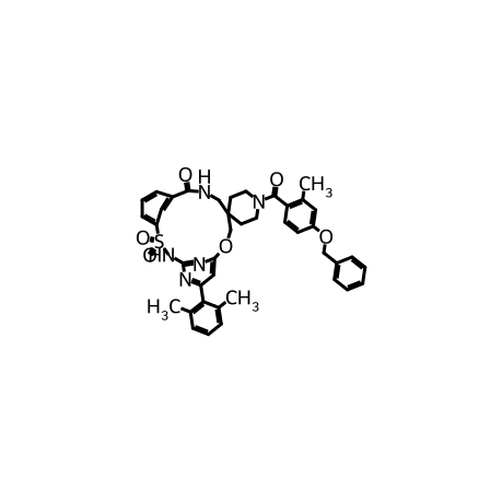 Cc1cc(OCc2ccccc2)ccc1C(=O)N1CCC2(CC1)CNC(=O)c1cccc(c1)S(=O)(=O)Nc1nc(cc(-c3c(C)cccc3C)n1)OC2